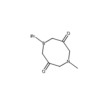 CC(C)B1CC(=O)CN(C)CC(=O)C1